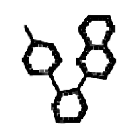 Cc1ccc(-c2ncccc2-c2ccc3ncccc3n2)cc1